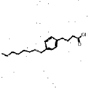 CCCCCCCCc1ccc(CCCC(=O)O)cc1